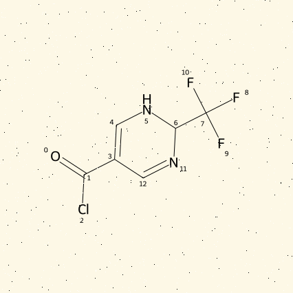 O=C(Cl)C1=CNC(C(F)(F)F)N=C1